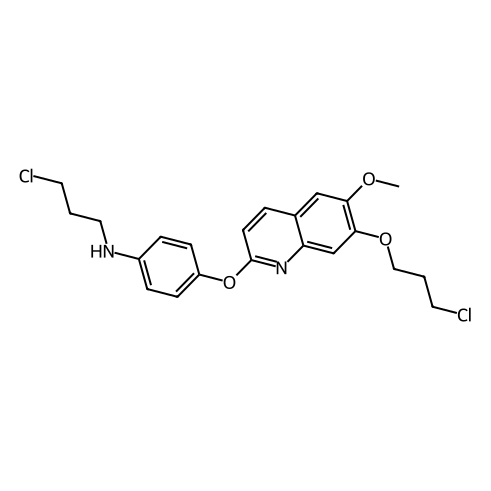 COc1cc2ccc(Oc3ccc(NCCCCl)cc3)nc2cc1OCCCCl